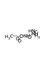 CCCCC1OC(=O)c2cc(NCc3cccc(CNC(C)=N)c3)ccc21